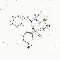 O=S(=O)(c1cccc(F)c1)c1c[nH]c2cccc(CCN3CCCCC3)c12